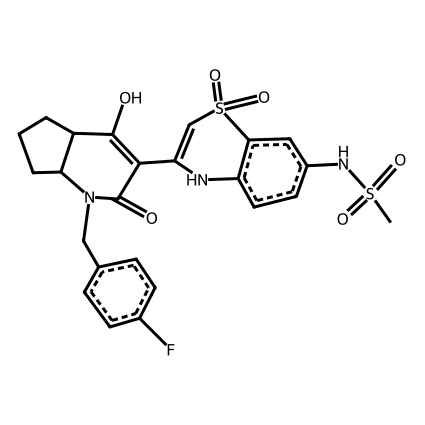 CS(=O)(=O)Nc1ccc2c(c1)S(=O)(=O)C=C(C1=C(O)C3CCCC3N(Cc3ccc(F)cc3)C1=O)N2